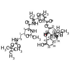 CC(=O)N[C@@H](CCCCNC(=O)OC(C)(C)C)C(=O)N[C@@H](C)C(O)O[C@@H](C)C(=O)OC1=CC[C@@]2(O)[C@H]3Cc4ccc(O)c5c4[C@@]2(CCN3C)[C@H]1O5